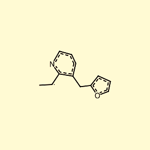 C[CH]c1ncccc1Cc1ccco1